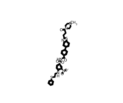 CN1CCN(C(=O)CCc2nc3cc(-c4ccc(C(=O)NS(=O)(=O)c5ccc(NCCSc6ccccc6)c([N+](=O)[O-])c5)cc4)ccc3s2)CC1